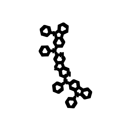 c1ccc(N(c2ccc3c4ccccc4n(-c4ccccc4)c3c2)c2cc3sc4cc(N(c5ccccc5)c5ccc6c7ccccc7n(-c7ccccc7)c6c5)ncc4c3cn2)cc1